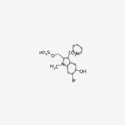 CCOC(=O)c1c(COS(=O)(=O)O)n(C)c2cc(Br)c(O)cc12.c1ccccc1